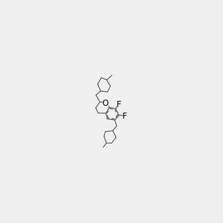 CC1CCC(Cc2cc3c(c(F)c2F)OC(CC2CCC(C)CC2)CC3)CC1